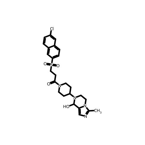 Cc1ncc2n1CCN(C1CCN(C(=O)CCS(=O)(=O)c3ccc4cc(Cl)ccc4c3)CC1)C2O